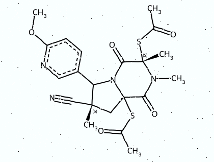 COc1ccc(C2N3C(=O)[C@](C)(SC(C)=O)N(C)C(=O)C3(SC(C)=O)C[C@]2(C)C#N)cn1